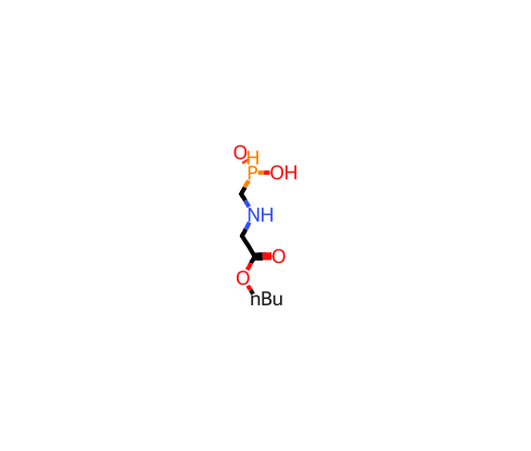 CCCCOC(=O)CNC[PH](=O)O